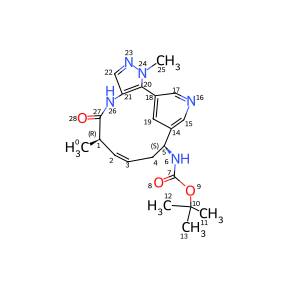 C[C@@H]1C=CC[C@H](NC(=O)OC(C)(C)C)c2cncc(c2)-c2c(cnn2C)NC1=O